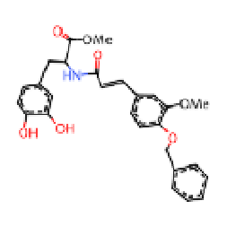 COC(=O)C(Cc1ccc(O)c(O)c1)NC(=O)C=Cc1ccc(OCc2ccccc2)c(OC)c1